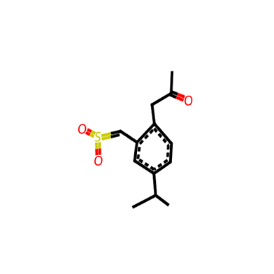 CC(=O)Cc1ccc(C(C)C)cc1C=S(=O)=O